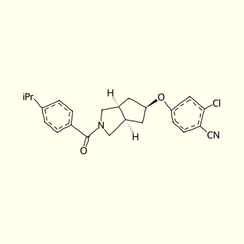 CC(C)c1ccc(C(=O)N2C[C@H]3C[C@@H](Oc4ccc(C#N)c(Cl)c4)C[C@H]3C2)cc1